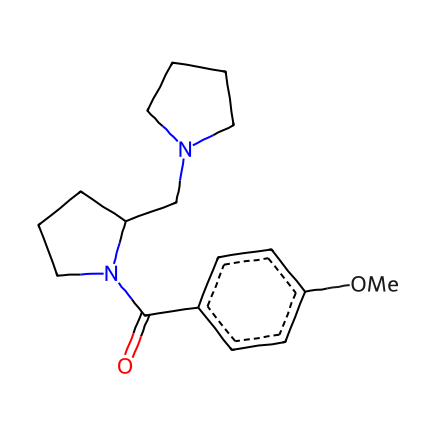 COc1ccc(C(=O)N2CCCC2CN2CCCC2)cc1